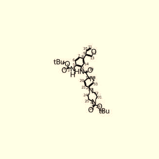 CC(C)(C)OC(=O)Nc1ccc(-c2ccoc2)cc1NC(=O)c1ccc(N2CCN(C(=O)OC(C)(C)C)CC2)cn1